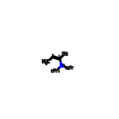 C/C=C(/CC)N(CCC)CCC